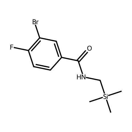 C[Si](C)(C)CNC(=O)c1ccc(F)c(Br)c1